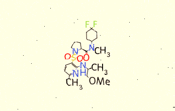 COC[C@H](C)Nc1nc(C)ccc1S(=O)(=O)N1CCC[C@H]1C(=O)N(C)C1CCC(F)(F)CC1